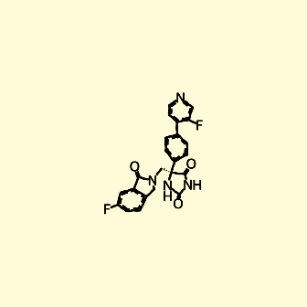 O=C1NC(=O)[C@](CN2Cc3ccc(F)cc3C2=O)(c2ccc(-c3ccncc3F)cc2)N1